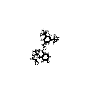 Cc1ccc(COCc2cc(C(F)(F)F)cc(C(F)(F)F)c2)c(N2C(=N)SCC2=O)c1